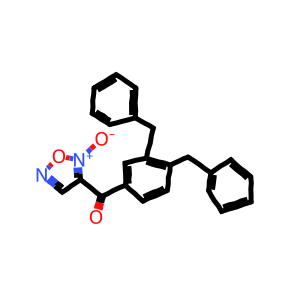 O=C(c1ccc(Cc2ccccc2)c(Cc2ccccc2)c1)c1cno[n+]1[O-]